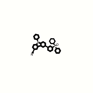 N#Cc1ccc2c(c1)c1cc(-c3cccc(P(=O)(c4ccccc4)C4CCCCC4)c3)ccc1n2-c1ccccc1